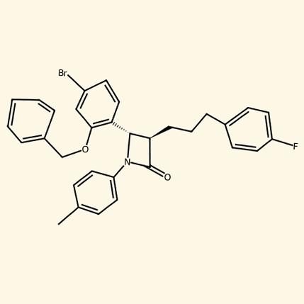 Cc1ccc(N2C(=O)[C@H](CCCc3ccc(F)cc3)[C@H]2c2ccc(Br)cc2OCc2ccccc2)cc1